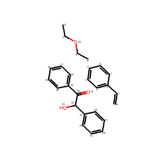 C=Cc1ccccc1.CCOCC.O=C(c1ccccc1)C(O)c1ccccc1